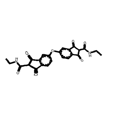 CCNC(=O)C1C(=O)c2ccc(Oc3ccc4c(c3)C(=O)C(C(=O)NCC)C4=O)cc2C1=O